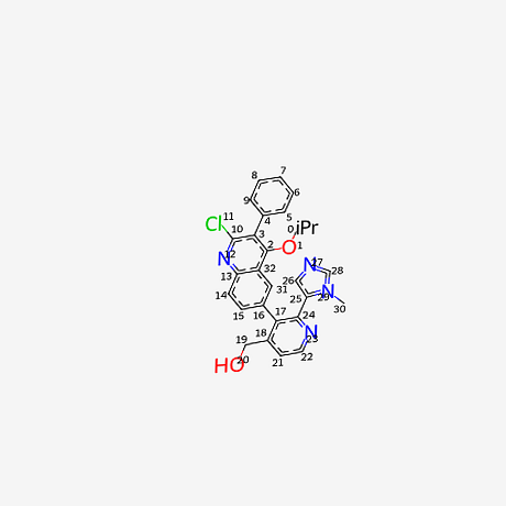 CC(C)Oc1c(-c2ccccc2)c(Cl)nc2ccc(-c3c(CO)ccnc3-c3cncn3C)cc12